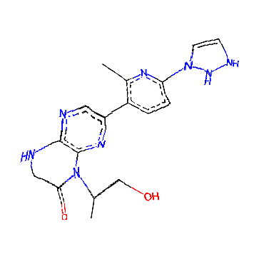 Cc1nc(N2C=CNN2)ccc1-c1cnc2c(n1)N(C(C)CO)C(=O)CN2